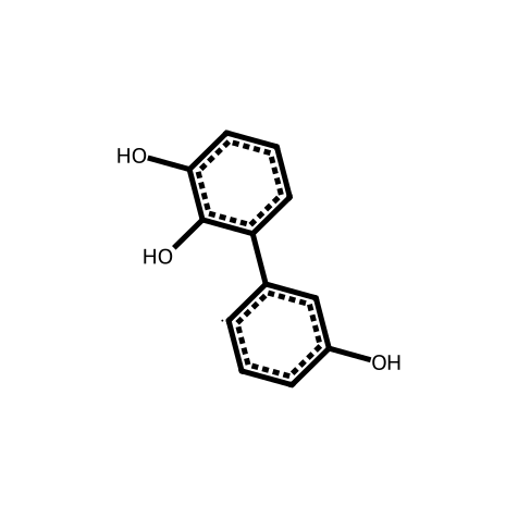 Oc1cc[c]c(-c2cccc(O)c2O)c1